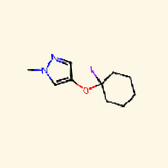 Cn1cc(OC2(I)CCCCC2)cn1